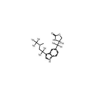 [2H]C([2H])(CN(C)C([2H])([2H])[2H])c1c[nH]c2ccc(C([2H])([2H])[C@@]3([2H])COC(=O)N3)cc12